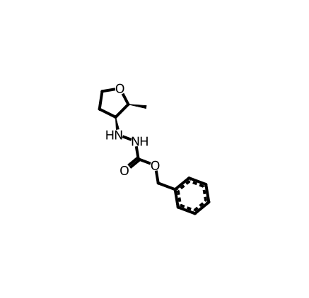 C[C@@H]1OCC[C@@H]1NNC(=O)OCc1ccccc1